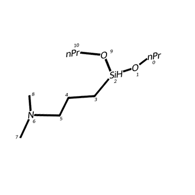 CCCO[SiH](CCCN(C)C)OCCC